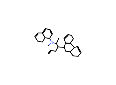 C=CCC(C1CC2CCC=CC2C2=C1C=CCC2)C(C)N(C)C1C=CC=C2C=CCCC21